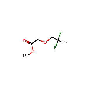 CCC(F)(F)COCC(=O)OC(C)(C)C